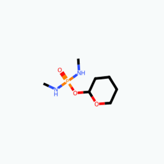 CNP(=O)(NC)OC1CCCCO1